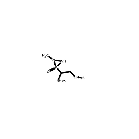 CCCCCCCCC(CCCCCC)P1(=O)NN1C